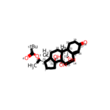 CC(OC(=O)C(C)(C)C)[C@H]1CC[C@@]2(O)[C@]3(O)C=CC4=CC(=O)CC[C@]4(CO)[C@H]3CC[C@]12C